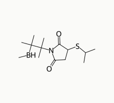 CBC(C)(C)C(C)(C)N1C(=O)CC(SC(C)C)C1=O